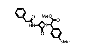 COC(=O)C(c1ccc(SC)cc1)N1CC(NC(=O)Cc2ccccc2)C1=O